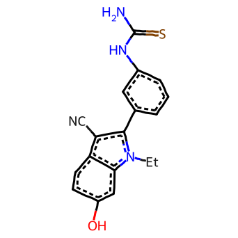 CCn1c(-c2cccc(NC(N)=S)c2)c(C#N)c2ccc(O)cc21